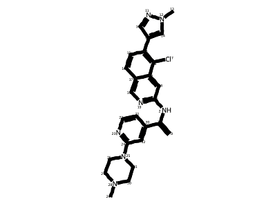 C=C(Nc1cc2c(Cl)c(-c3cnn(C)c3)ccc2cn1)c1ccnc(N2CCN(C)CC2)c1